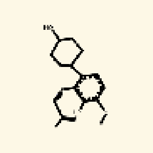 C=C(C)/C=P\c1c(C2CCC(O)CC2)ccc(OC)c1P